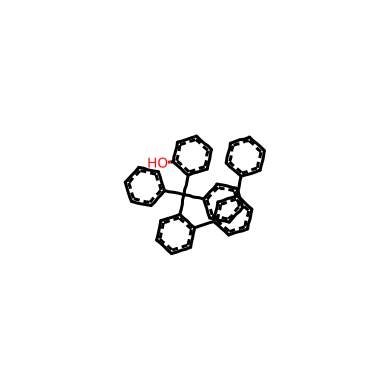 Oc1ccccc1C(c1ccccc1)(c1ccccc1)c1ccccc1-c1cccc(-c2ccccc2)c1